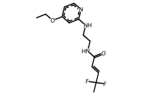 CCOc1ccnc(NCCNC(=O)/C=C/C(C)(F)F)c1